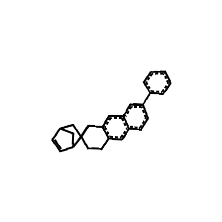 C1=CC2CC1CC21CCc2cc3ccc(-c4ccccc4)cc3cc2C1